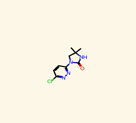 CC1(C)CN(c2ccc(Cl)nn2)C(=O)N1